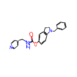 O=C(NCc1ccncc1)Oc1ccc2c(c1)CCN2Cc1ccccc1